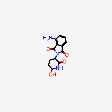 Nc1cccc2c1C(=O)N(C1CCC(O)NC1=O)C2=O